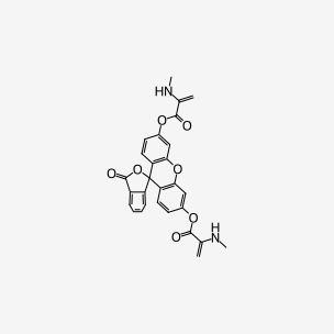 C=C(NC)C(=O)Oc1ccc2c(c1)Oc1cc(OC(=O)C(=C)NC)ccc1C21OC(=O)c2ccccc21